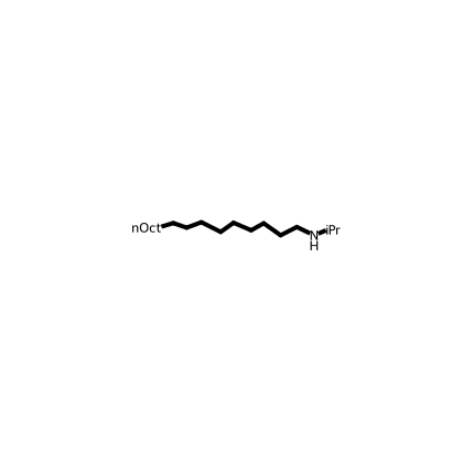 CCCCCCCCCCCCCCCCCNC(C)C